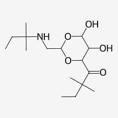 CCC(C)(C)NCC1OC(O)C(O)C(C(=O)C(C)(C)CC)O1